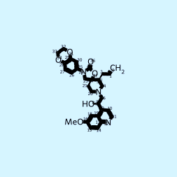 C=CC[C@H]1CN(C[C@H](O)c2ccnc3ccc(OC)cc23)CC[C@]12CN(c1ccc3c(c1)OCCO3)C(=O)O2